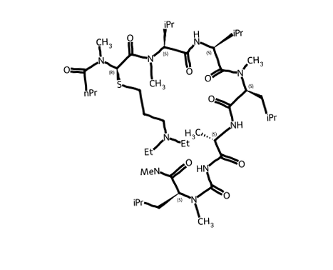 CCCC(=O)N(C)[C@H](SCCCN(CC)CC)C(=O)N(C)[C@H](C(=O)N[C@H](C(=O)N(C)[C@@H](CC(C)C)C(=O)N[C@@H](C)C(=O)NC(=O)N(C)[C@@H](CC(C)C)C(=O)NC)C(C)C)C(C)C